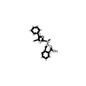 Cc1sc(N(C)/N=C/c2ccccc2C(=O)O)nc1-c1ccccc1